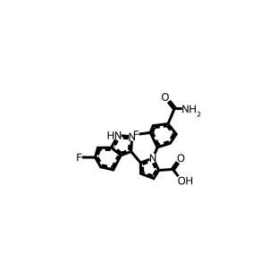 NC(=O)c1ccc(-n2c(C(=O)O)ccc2-c2n[nH]c3cc(F)ccc23)c(F)c1